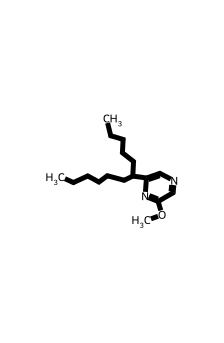 CCCCCCC(CCCCC)c1cncc(OC)n1